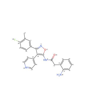 Cc1cc(-c2noc(NC(=O)Cc3ccccc3N)c2-c2ccncc2)ccc1F